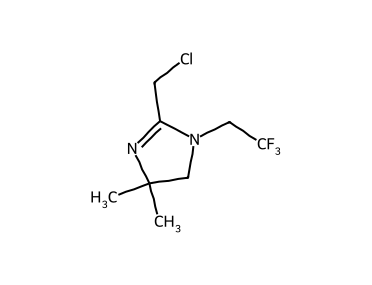 CC1(C)CN(CC(F)(F)F)C(CCl)=N1